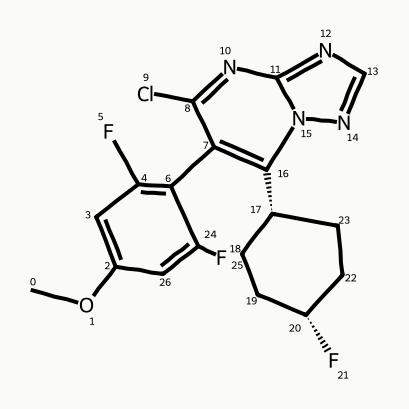 COc1cc(F)c(-c2c(Cl)nc3ncnn3c2[C@H]2CC[C@@H](F)CC2)c(F)c1